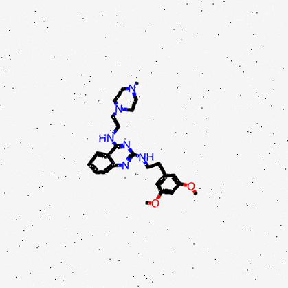 COc1cc(CCNc2nc(NCCN3CCN(C)CC3)c3ccccc3n2)cc(OC)c1